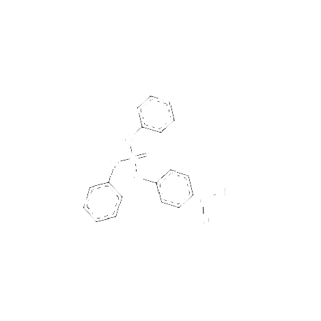 O=P(Oc1ccccc1)(Oc1ccccc1)Oc1ccccc1.[CH2]COCCCC